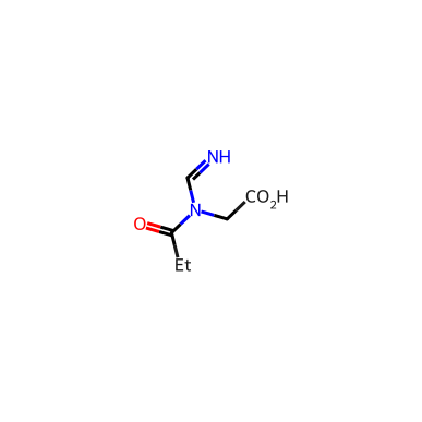 CCC(=O)N(C=N)CC(=O)O